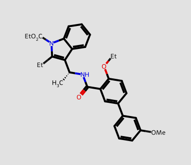 CCOC(=O)n1c(CC)c([C@@H](C)NC(=O)c2cc(-c3cccc(OC)c3)ccc2OCC)c2ccccc21